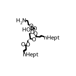 CCCCCCCC=CC(=O)OC[C@H](COP(=O)(O)OCCN)OC(=O)C=CCCCCCCC